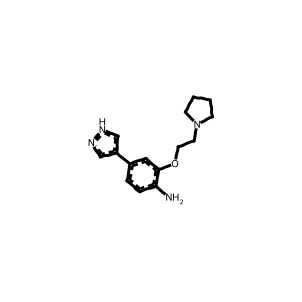 Nc1ccc(-c2cn[nH]c2)cc1OCCN1CCCC1